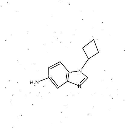 Nc1ccc2c(c1)ncn2C1CCC1